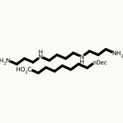 CCCCCCCCCCCCCCCCCC(=O)O.NCCCNCCCCNCCCN